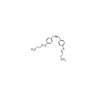 CCCSSc1ccc([CH2][Ni][CH2]c2ccc(SSCCC)cc2)cc1